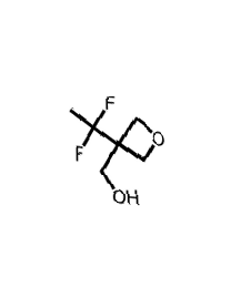 CC(F)(F)C1(CO)COC1